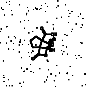 O=C(O)C1(C(=O)O)CCCC12C(=O)OC2=O